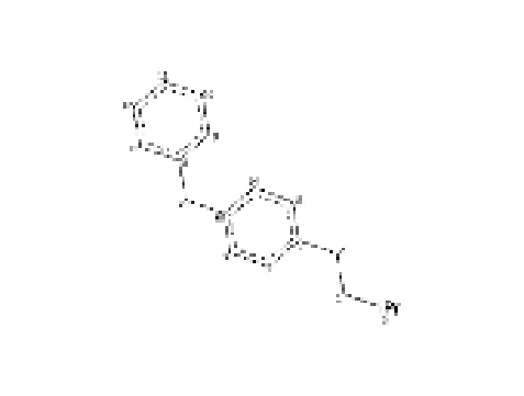 CC(C)CCc1ccc(Cc2ccccc2)cc1